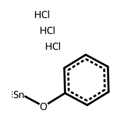 Cl.Cl.Cl.[Sn][O]c1ccccc1